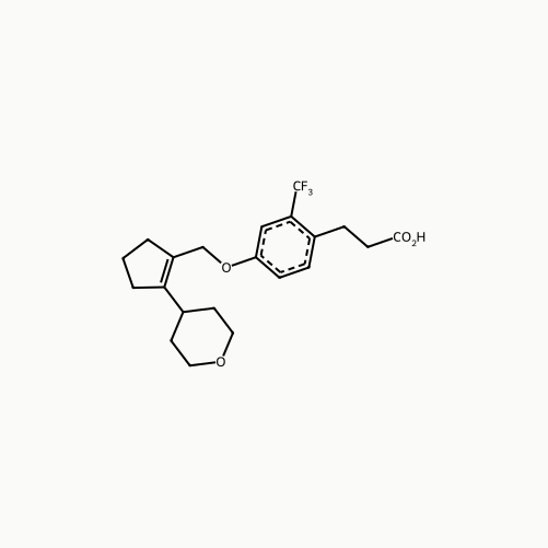 O=C(O)CCc1ccc(OCC2=C(C3CCOCC3)CCC2)cc1C(F)(F)F